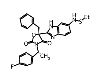 CCSNc1ccc2nc([C@@]3(Cc4ccccc4)OC(=O)N([C@H](C)c4ccc(F)cc4)C3=O)[nH]c2c1